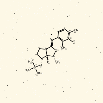 Cc1c(/N=C2\O[C@H](C(F)(F)F)[C@@H]3[C@H](O[Si](C)(C)C(C)(C)C)CCN23)ccc(C#N)c1Cl